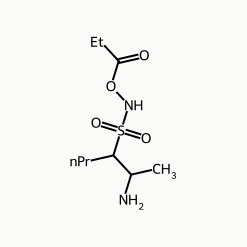 CCCC(C(C)N)S(=O)(=O)NOC(=O)CC